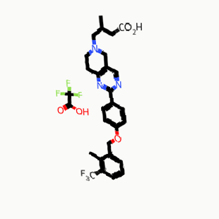 Cc1c(COc2ccc(-c3ncc4c(n3)CCN(CC(C)CC(=O)O)C4)cc2)cccc1C(F)(F)F.O=C(O)C(F)(F)F